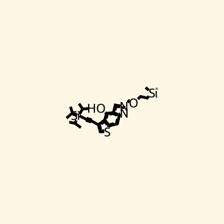 CC(C)[Si](C#Cc1csc2cc3nn(COCC[Si](C)(C)C)cc3c(O)c12)(C(C)C)C(C)C